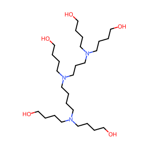 OCCCCN(CCCCO)CCCCN(CCCCO)CCCN(CCCCO)CCCCO